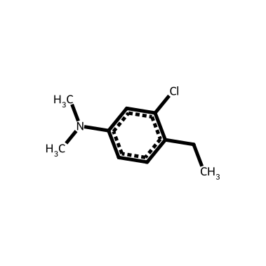 CCc1ccc(N(C)C)cc1Cl